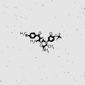 COc1ccc(C(=O)c2sc(N(c3ccc(OC(F)(F)F)c(Cl)c3)[C@H](C)C(N)=O)nc2N)cc1